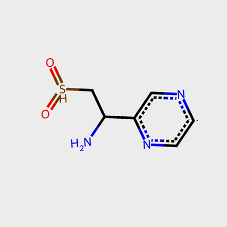 NC(C[SH](=O)=O)c1cn[c]cn1